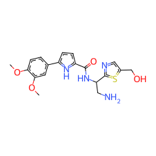 COc1ccc(-c2ccc(C(=O)NC(CN)c3ncc(CO)s3)[nH]2)cc1OC